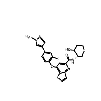 Cn1cc(-c2ccc(Oc3cc(C(=O)N[C@H]4COCC[C@@H]4O)nc4ccsc34)c(F)c2)cn1